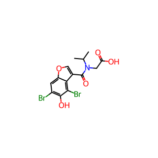 CC(C)N(CC(=O)O)C(=O)c1coc2cc(Br)c(O)c(Br)c12